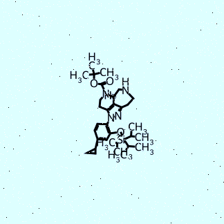 CC(C)[Si](Oc1cc(C2CC2)ccc1-n1nc2c3c1CCN(C(=O)OC(C)(C)C)[C@H]3CNCC2)(C(C)C)C(C)C